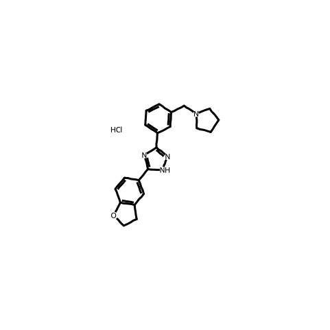 Cl.c1cc(CN2CCCC2)cc(-c2n[nH]c(-c3ccc4c(c3)CCO4)n2)c1